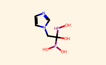 OPC(O)(Cn1ccnc1)P(O)O